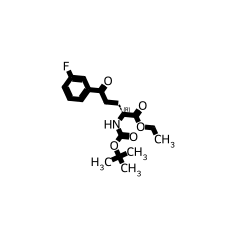 CCOC(=O)[C@@H](CCC(=O)c1cccc(F)c1)NC(=O)OC(C)(C)C